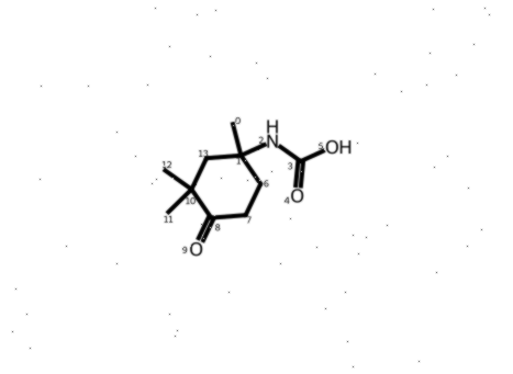 CC1(NC(=O)O)CCC(=O)C(C)(C)C1